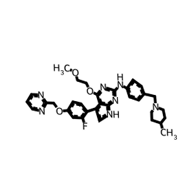 COCCOc1nc(Nc2ccc(CN3CCC(C)CC3)cc2)nc2[nH]cc(-c3ccc(OCc4ncccn4)cc3F)c12